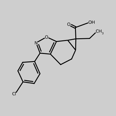 CCC1(C(=O)O)C2CCc3c(-c4ccc(Cl)cc4)noc3C21